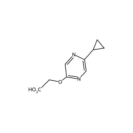 O=C(O)COc1cnc(C2CC2)cn1